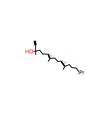 C#CC(C)(O)CC/C=C(\C)CC/C=C(\C)CCCC(C)C